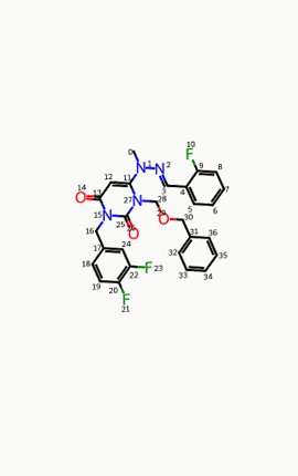 CN(N=Cc1ccccc1F)c1cc(=O)n(Cc2ccc(F)c(F)c2)c(=O)n1COCc1ccccc1